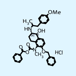 COc1ccc(CC(C)N[C@@H]2CCc3c(ccc(OCc4ccccc4)c3N(C)C(=O)OC(=O)c3ccccc3)[C@H]2O)cc1.Cl